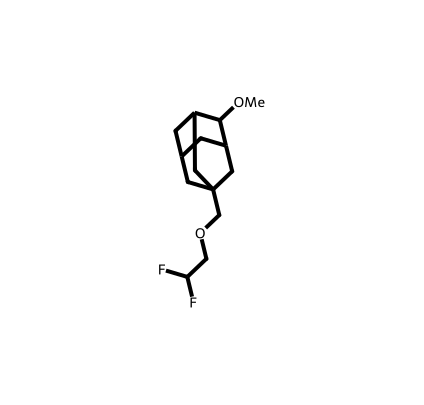 COC1C2CC3CC1CC(COCC(F)F)(C3)C2